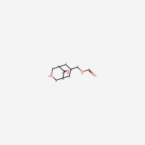 O=COCC1CC2COCC(C1)C2=O